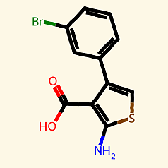 Nc1scc(-c2cccc(Br)c2)c1C(=O)O